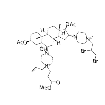 C=CC[N+]1(CCC(=O)OC)CCN([C@@H]2C[C@H]3[C@@H]4C[C@H](N5CC[N+](C)(CC(Br)CBr)CC5)[C@H](OC(C)=O)[C@@]4(C)CC[C@@H]3[C@@]3(C)CC[C@H](OC(C)=O)C[C@]23O)CC1